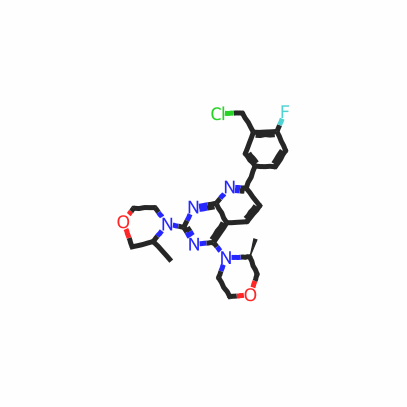 CC1COCCN1c1nc(N2CCOC[C@@H]2C)c2ccc(-c3ccc(F)c(CCl)c3)nc2n1